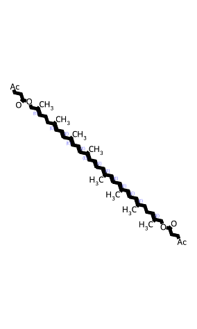 CC(=O)CCC(=O)OC/C(C)=C/CC/C(C)=C/C=C/C(C)=C/C=C/C(C)=C/C=C/C=C(C)/C=C/C=C(C)/C=C/C=C(\C)CC/C=C(\C)COC(=O)CCC(C)=O